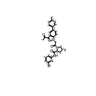 CC(=O)c1nn(CC(=O)N2C[C@H](F)CC2C(=O)Nc2cccc(Br)n2)c2ccc(-c3cnc(C)nc3)cc12